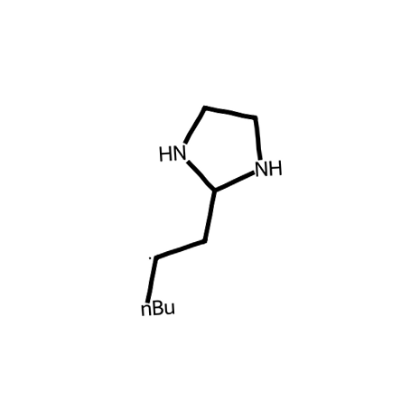 CCCC[CH]CC1NCCN1